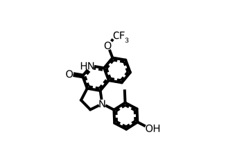 Cc1cc(O)ccc1N1CCc2c1c1cccc(OC(F)(F)F)c1[nH]c2=O